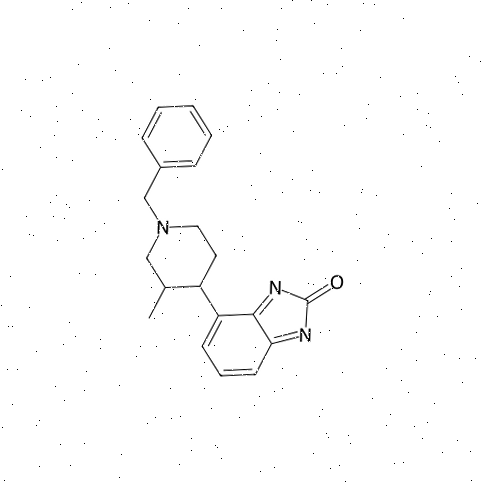 CC1CN(Cc2ccccc2)CCC1c1cccc2c1=NC(=O)N=2